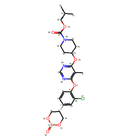 Cc1c(Oc2ccc([C@H]3CO[S@](=O)OC3)cc2Cl)ncnc1OC1CCN(C(=O)OCC(C)C)CC1